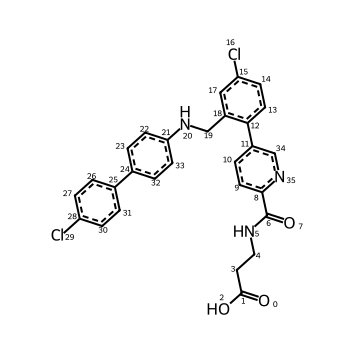 O=C(O)CCNC(=O)c1ccc(-c2ccc(Cl)cc2CNc2ccc(-c3ccc(Cl)cc3)cc2)cn1